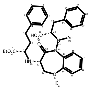 CCOC(=O)[C@H](CCc1ccccc1)N[C@H]1COc2ccccc2N(N(C(C)=O)[C@@H](Cc2ccccc2)C(=O)O)C1=O.Cl